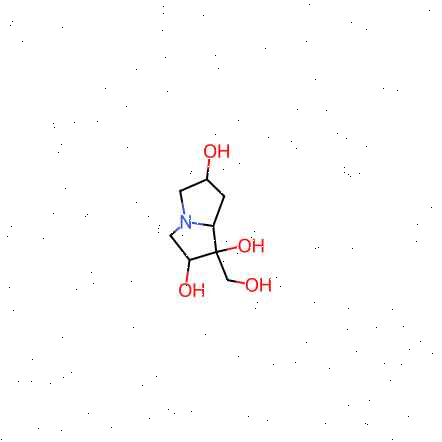 OCC1(O)C(O)CN2CC(O)CC21